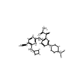 C=C(C(N)=O)c1cc(N2CCC(N(C)C)CC2)ccc1Nc1ncc(C#N)c(NC2CCC2)n1